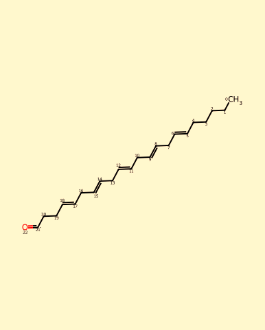 CCCCCC=CCC=CCC=CCC=CCC=CCC[C]=O